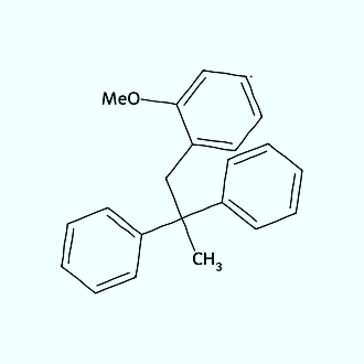 COc1c[c]ccc1CC(C)(c1ccccc1)c1ccccc1